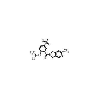 CCC(Oc1ccc(S(C)(=O)=O)cc1C(=O)N1Cc2cnc(C(F)(F)F)cc2C1)C(F)(F)F